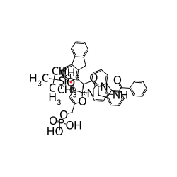 CC(C)(C)[Si](C)(C)O[C@@H]1C=C(COP(=O)(O)O)O[C@@]1(C(c1cccc2c1Cc1ccccc1-2)c1cccc2c1Cc1ccccc1-2)n1ccc(NC(=O)c2ccccc2)nc1=O